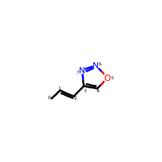 C/C=[C]/c1conn1